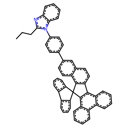 CCCc1nc2ccccc2n1-c1ccc(-c2ccc3c4c(ccc3c2)-c2c(c3ccccc3c3ccccc23)C42c3ccccc3-c3ccccc32)cc1